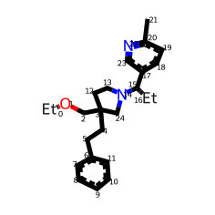 CCOCC1(CCc2ccccc2)CCN(C(CC)c2ccc(C)nc2)C1